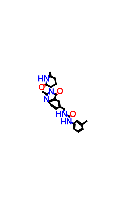 C=C1CCC(n2c(C)nc3ccc(CNC(=O)Nc4cccc(C)c4)cc3c2=O)C(=O)N1